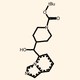 CC(C)(C)OC(=O)N1CCC(C(O)c2cccc3cncn23)CC1